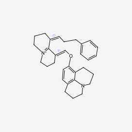 C(/CCc1ccccc1)=C1\CCC[N+]2=C1/C(=C/Oc1ccc3c4c1CCCN4CCC3)CCC2